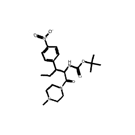 CCC(c1ccc([N+](=O)[O-])cc1)C(NC(=O)OC(C)(C)C)C(=O)N1CCN(C)CC1